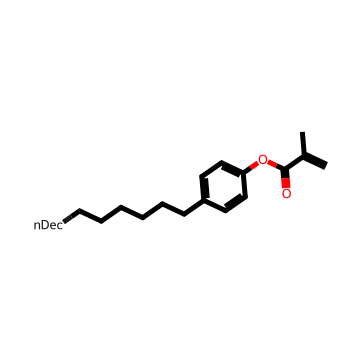 C=C(C)C(=O)Oc1ccc(CCCCCCCCCCCCCCCC)cc1